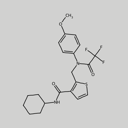 COc1ccc(N(Cc2sccc2C(=O)NC2CCCCC2)C(=O)C(F)(F)F)cc1